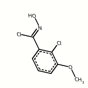 COc1cccc(C(Cl)=NO)c1Cl